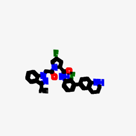 CC(=O)c1nn(CC(=O)N2C[C@H](F)C[C@H]2C(=O)Nc2cccc(-c3ccc4c(c3)CCCN4)c2F)c2ccccc12